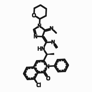 C=N/C(N[C@@H](C)c1cc2cccc(Cl)c2c(=O)n1-c1ccccc1)=C1/N=CN(C2CCCCO2)/C1=N/C